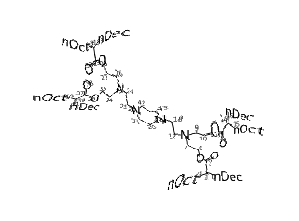 CCCCCCCCCCC(CCCCCCCC)C(=O)OCCN(CCOC(=O)C(CCCCCCCC)CCCCCCCCCC)CCN1CCN(CCN(CCOC(=O)C(CCCCCCCC)CCCCCCCCCC)CCOC(=O)C(CCCCCCCC)CCCCCCCCCC)CC1